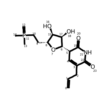 C=CCC1=CC([C@@H]2O[C@H](CCP(=C)(C)C)[C@@H](O)[C@H]2O)C(=O)NC1=O